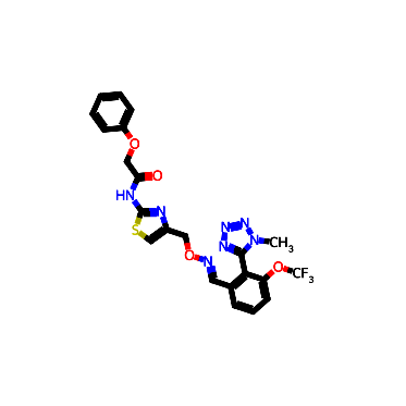 Cn1nnnc1-c1c(C=NOCc2csc(NC(=O)COc3ccccc3)n2)cccc1OC(F)(F)F